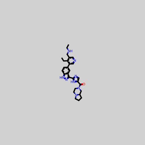 CCNCc1cncc(-c2ccc3[nH]nc(-c4ncc(C(=O)N5CCN6CCCC6C5)[nH]4)c3c2)c1CC